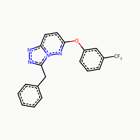 FC(F)(F)c1cccc(Oc2ccc3nnc(Cc4ccccc4)n3n2)c1